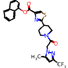 Cc1cc(C(F)(F)F)nn1CC(=O)N1CCC(c2nc(C(=O)Oc3cccc4ccccc34)cs2)CC1